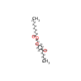 CCCCCCCCCC(=O)OCCOc1ccc(C(=O)CCCCC)cc1